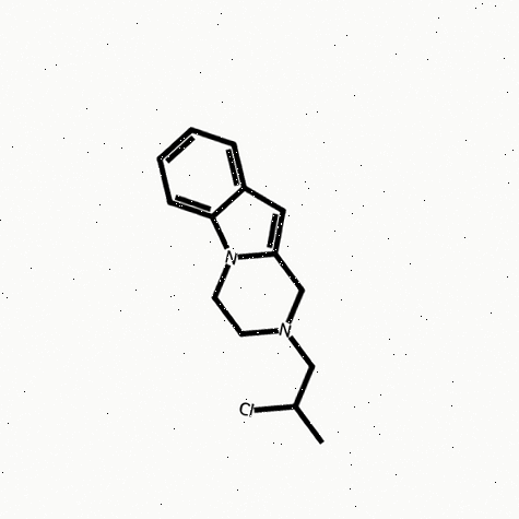 CC(Cl)CN1CCn2c(cc3ccccc32)C1